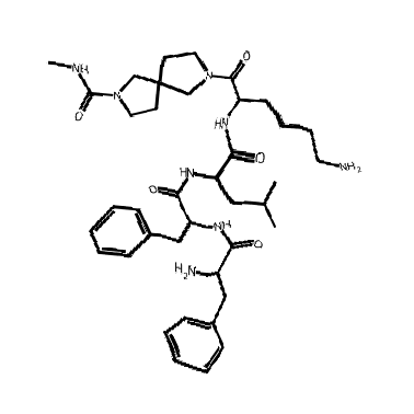 CNC(=O)N1CCC2(CCN(C(=O)C(CCCCN)NC(=O)C(CC(C)C)NC(=O)C(Cc3ccccc3)NC(=O)C(N)Cc3ccccc3)C2)C1